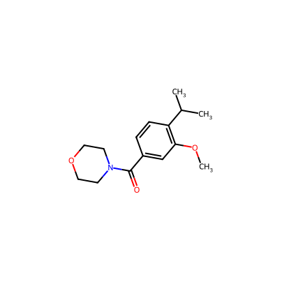 COc1cc(C(=O)N2CCOCC2)ccc1C(C)C